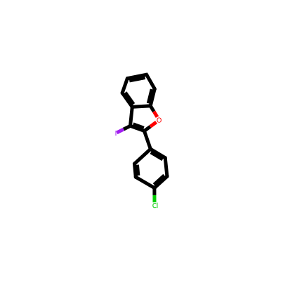 Clc1ccc(-c2oc3ccccc3c2I)cc1